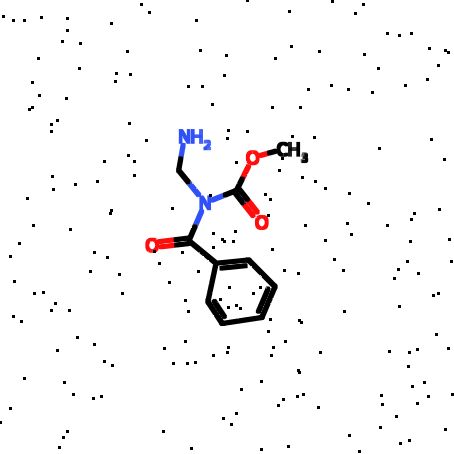 COC(=O)N(CN)C(=O)c1ccccc1